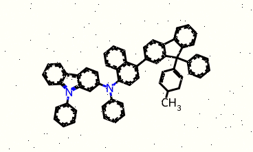 CC1C=CC(C2(c3ccccc3)c3ccccc3-c3ccc(-c4ccc(N(c5ccccc5)c5ccc6c7ccccc7n(-c7ccccc7)c6c5)c5ccccc45)cc32)=CC1